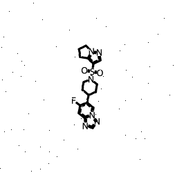 O=S(=O)(c1cnn2c1CCC2)N1CCC(c2cn3ncnc3cc2F)CC1